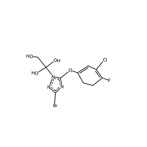 OCC(O)(O)n1nc(Br)nc1OC1=CC(Cl)=C(F)CC1